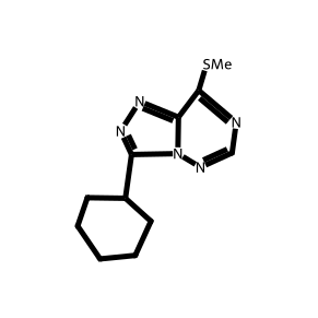 CSc1ncnn2c(C3CCCCC3)nnc12